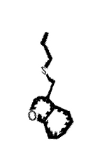 CCCSCc1coc2ccccc12